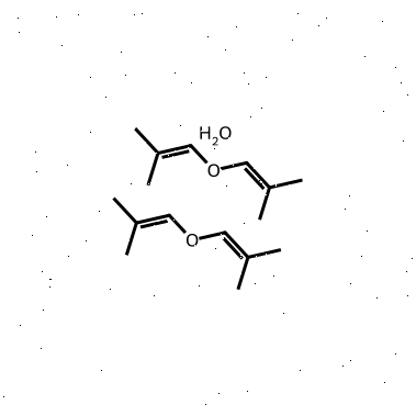 CC(C)=COC=C(C)C.CC(C)=COC=C(C)C.O